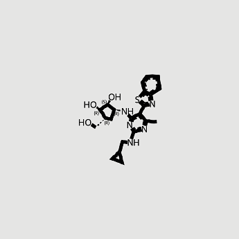 Cc1nc(NCC2CC2)nc(N[C@@H]2C[C@H](CO)[C@@H](O)[C@H]2O)c1-c1nc2ccccc2s1